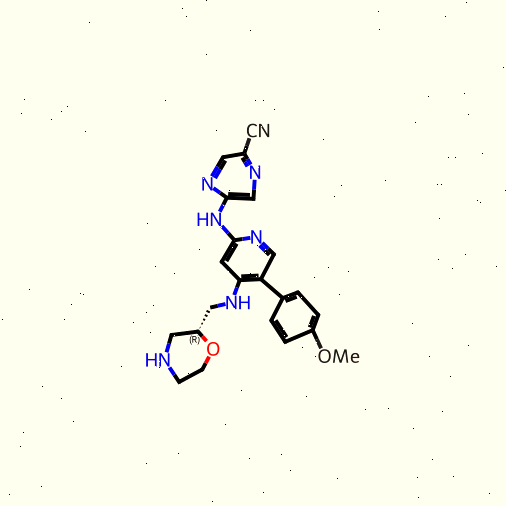 COc1ccc(-c2cnc(Nc3cnc(C#N)cn3)cc2NC[C@H]2CNCCO2)cc1